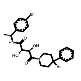 CC(=O)C1(c2ccccc2)CCN(C(=O)[C@H](O)[C@@H](O)C(=O)N[C@@H](C)c2ccc(Br)cc2)CC1